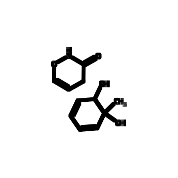 CC1(O)C=CC=CC1O.O=C1CC=CON1